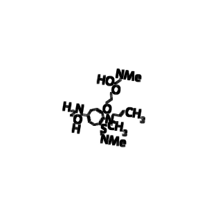 C/C=C/CN(C)/C1=C(\SCNC)C/C=C(/C(N)O)CC=C1OCCCOC(O)CNC